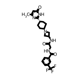 Cc1cc(=O)[nH]c([C@H]2CC[C@@H](N3CC(NC(=O)CNC(=O)c4cccc(C(F)(F)F)c4)C3)CC2)n1